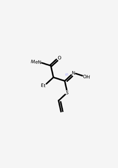 C=CS/C(=N\O)C(CC)C(=O)NC